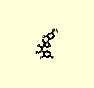 Cc1ccc(-n2ncn(C(=O)N(c3ccc(F)cc3F)C(C)C)c2=O)c(Cl)c1